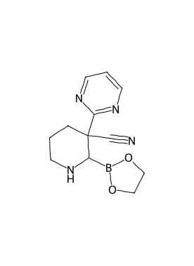 N#CC1(c2ncccn2)CCCNC1B1OCCO1